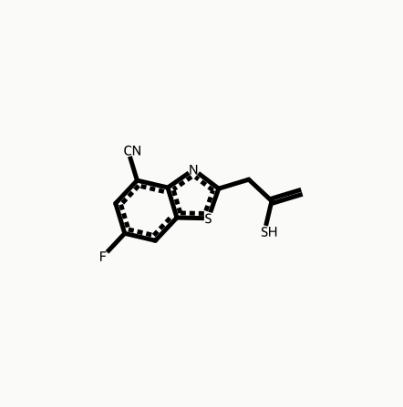 C=C(S)Cc1nc2c(C#N)cc(F)cc2s1